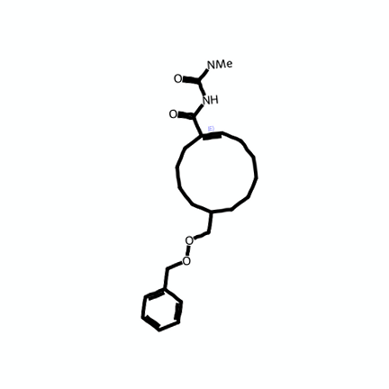 CNC(=O)NC(=O)/C1=C/CCCCCC(COOCc2ccccc2)CCCC1